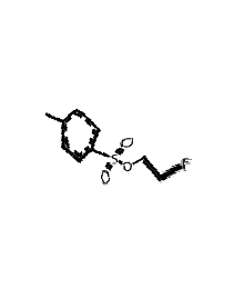 Cc1ccc(S(=O)(=O)OC=CF)cc1